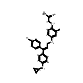 Cc1cc(OCC=C(c2ccc(I)cc2)c2ccc(SC3CC3)cc2)ccc1OCC(=O)O